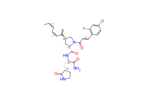 C=C(/C=C\C=C/C)[C@@H]1C[C@@H](C(=O)N[C@@H](C[C@@H]2CCNC2=O)C(N)=O)N(C(=O)/C=C/c2ccc(Cl)cc2F)C1